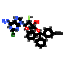 COc1ccc(C(OC2[C@H]3O[C@@H](n4cnc5c(N)nc(Cl)nc54)[C@@H](F)[C@@]23O)(c2ccccc2)c2ccccc2)cc1